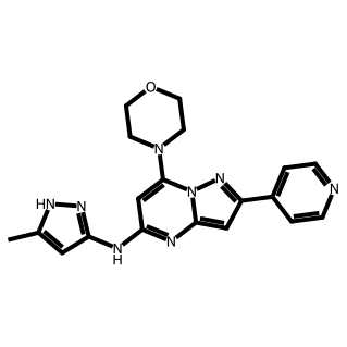 Cc1cc(Nc2cc(N3CCOCC3)n3nc(-c4ccncc4)cc3n2)n[nH]1